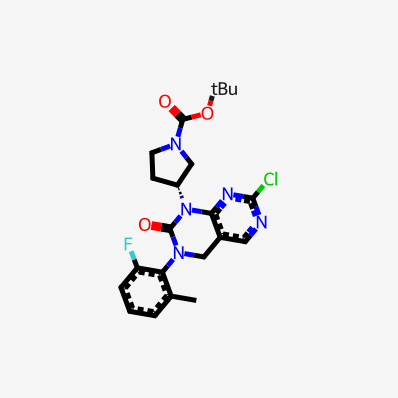 Cc1cccc(F)c1N1Cc2cnc(Cl)nc2N([C@@H]2CCN(C(=O)OC(C)(C)C)C2)C1=O